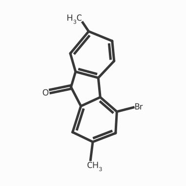 Cc1ccc2c(c1)C(=O)c1cc(C)cc(Br)c1-2